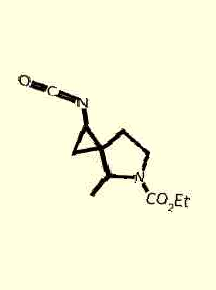 CCOC(=O)N1CCC2(CC2N=C=O)C1C